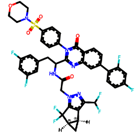 O=C(Cn1nc(C(F)F)c2c1C(F)(F)[C@@H]1C[C@H]21)NC(Cc1cc(F)cc(F)c1)c1nc2cc(-c3ccc(F)cc3F)ccc2c(=O)n1-c1ccc(S(=O)(=O)N2CCOCC2)cc1